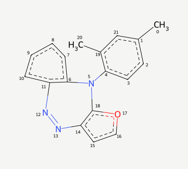 Cc1ccc(N2c3ccccc3N=Nc3ccoc32)c(C)c1